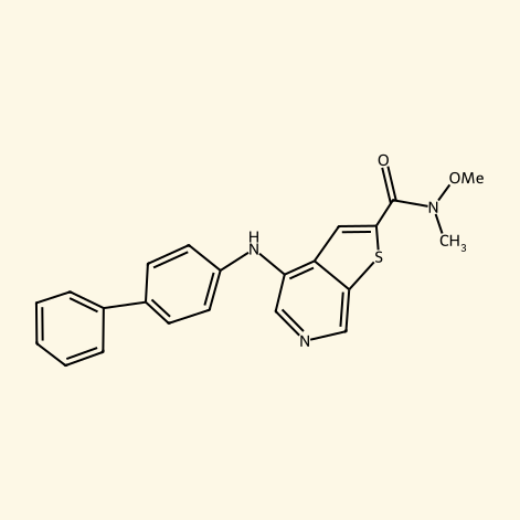 CON(C)C(=O)c1cc2c(Nc3ccc(-c4ccccc4)cc3)cncc2s1